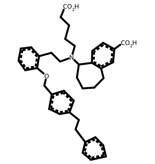 O=C(O)CCCCN(CCc1ccccc1OCc1ccc(CCc2ccccc2)cc1)C1CCCCc2cc(C(=O)O)ccc21